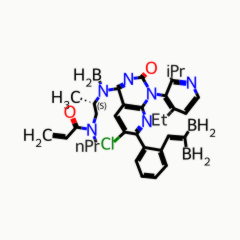 BC(B)=Cc1ccccc1-c1nc2c(cc1Cl)c(N(B)[C@@H](C)CN(CCC)C(=O)C=C)nc(=O)n2-c1c(CC)ccnc1C(C)C